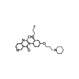 Cc1nc2ccncc2c(=O)n1-c1ccc(OCCCN2CCCCC2)cc1OCCF